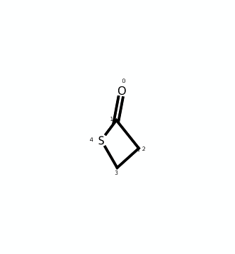 O=C1[CH]CS1